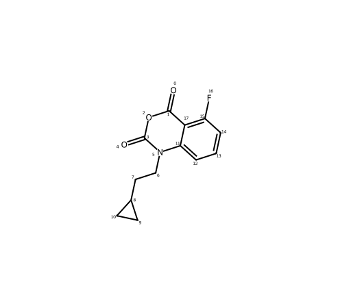 O=c1oc(=O)n(CCC2CC2)c2cccc(F)c12